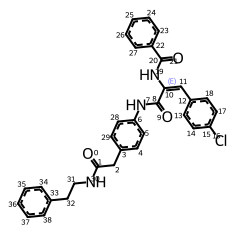 O=C(Cc1ccc(NC(=O)/C(=C\c2ccc(Cl)cc2)NC(=O)c2ccccc2)cc1)NCCc1ccccc1